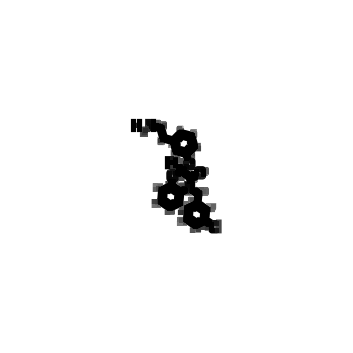 CCC1(Oc2cccc(CCN)c2)Oc2ccccc2N(Cc2cccc(Cl)c2)C1=O